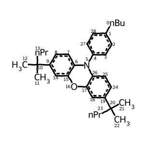 CCCCc1ccc(N2c3ccc(C(C)(C)CCC)cc3Oc3cc(C(C)(C)CCC)ccc32)cc1